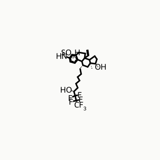 C=CC12CCc3cc(NS(=O)(=O)O)ccc3C1[C@@H](CCCCCC[C@@H](O)C(F)(F)C(F)(F)C(F)(F)F)C[C@@]1(C)C2CC[C@@H]1O